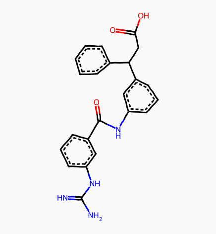 N=C(N)Nc1cccc(C(=O)Nc2cccc(C(CC(=O)O)c3ccccc3)c2)c1